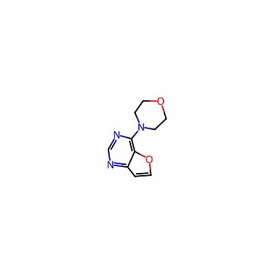 c1nc(N2CCOCC2)c2occc2n1